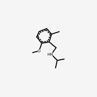 COc1cccc(C)c1CNC(C)C